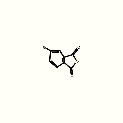 O=C1[N]C(=O)c2cc(Br)ccc21